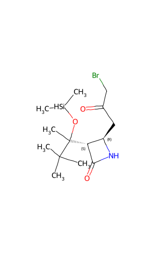 C[SiH](C)OC(C)([C@H]1C(=O)N[C@@H]1CC(=O)CBr)C(C)(C)C